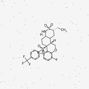 CC[C@@H]1CC2[C@@H](CC[C@@]3(S(=O)(=O)c4ccc(C(F)(F)F)cc4)c4c(F)ccc(F)c4OC[C@@H]23)NS1(=O)=O